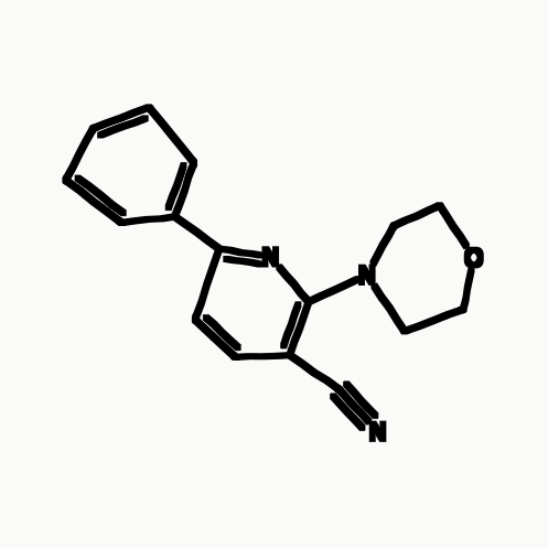 N#Cc1ccc(-c2ccccc2)nc1N1CCOCC1